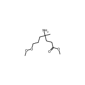 COOCCCC(C)(N)CCC(=O)OC